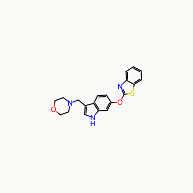 c1ccc2sc(Oc3ccc4c(CN5CCOCC5)c[nH]c4c3)nc2c1